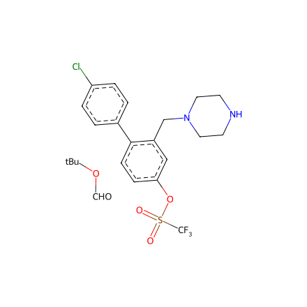 CC(C)(C)OC=O.O=S(=O)(Oc1ccc(-c2ccc(Cl)cc2)c(CN2CCNCC2)c1)C(F)(F)F